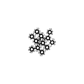 c1ccc(-c2cc(-c3ccccc3)cc(N3c4ccc(-c5ccccc5)cc4B4c5cc(-c6ccccc6)ccc5N(c5cc(-c6ccccc6)cc(-c6ccccc6)c5)c5cc(-c6ccccc6)cc3c54)c2)cc1